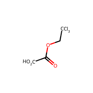 O=C(O)C(=O)OCC(Cl)(Cl)Cl